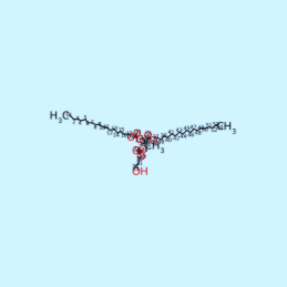 CCCCCCCCCCCCCCCCCCOC(=O)OCC(C)(COC(=O)OCCCO)C(=O)OCCCCCCCCCCCCCCCCCC